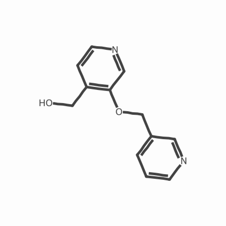 OCc1ccncc1OCc1cccnc1